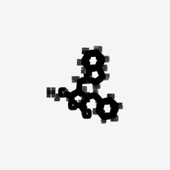 CC1OC(=O)N(Cc2ccccc2)C1CN1CCc2ccccc21